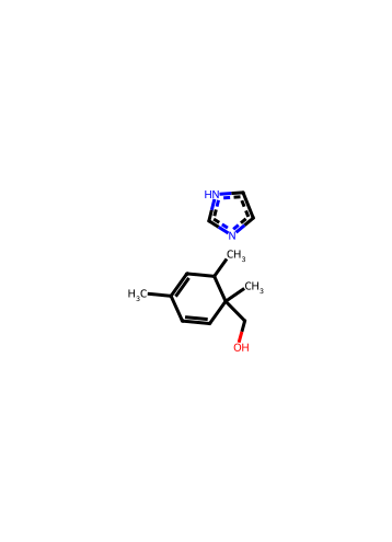 CC1=CC(C)C(C)(CO)C=C1.c1c[nH]cn1